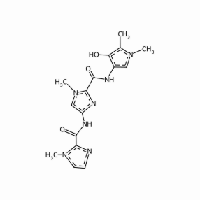 Cc1c(O)c(NC(=O)c2nc(NC(=O)c3nccn3C)cn2C)cn1C